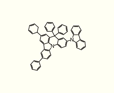 C1=CCC(c2cc3c4c(c2)c2cc(-c5ccccc5)ccc2n4-c2ccc(-n4c5ccccc5c5ccccc54)cc2C3(c2ccccc2)c2ccccc2)C=C1